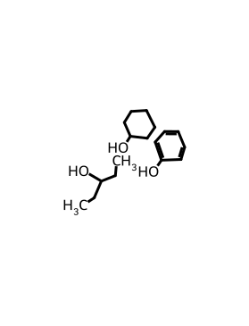 CCC(O)CC.OC1CCCCC1.Oc1ccccc1